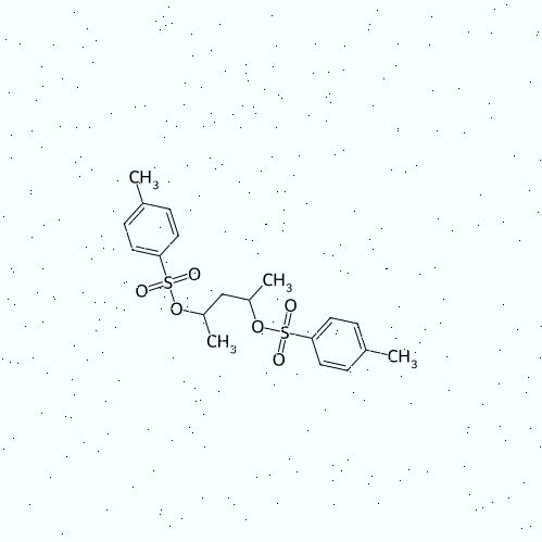 Cc1ccc(S(=O)(=O)OC(C)CC(C)OS(=O)(=O)c2ccc(C)cc2)cc1